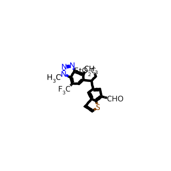 CCOC(=O)CC(c1cc(C=O)c2sccc2c1)c1cc(C(F)(F)F)c2c(nnn2C)c1C